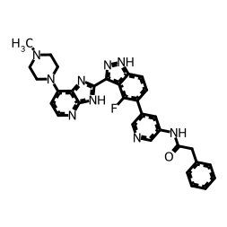 CN1CCN(c2ccnc3[nH]c(-c4n[nH]c5ccc(-c6cncc(NC(=O)Cc7ccccc7)c6)c(F)c45)nc23)CC1